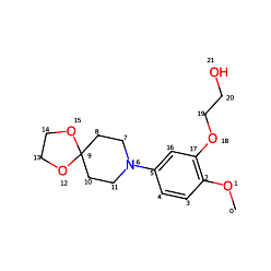 COc1ccc(N2CCC3(CC2)OCCO3)cc1OCCO